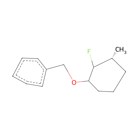 C[C@@H]1CCCC(OCc2ccccc2)C1F